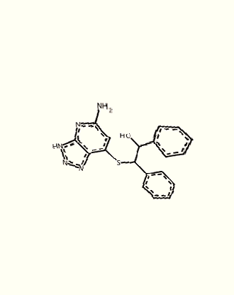 Nc1cc(SC(c2ccccc2)C(O)c2ccccc2)c2nn[nH]c2n1